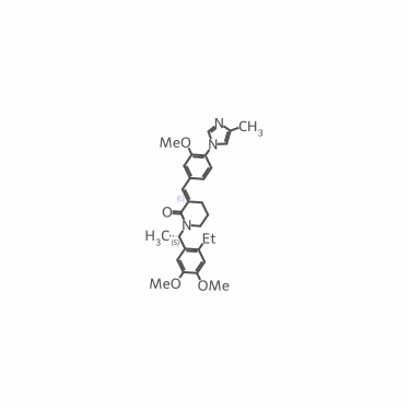 CCc1cc(OC)c(OC)cc1[C@H](C)N1CCC/C(=C\c2ccc(-n3cnc(C)c3)c(OC)c2)C1=O